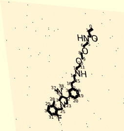 C=CC(=O)NCCOCCOCCNCCCc1cccc([C@H]2CN(Cc3c(C)cccc3F)C[C@@H]2N(C)C)c1